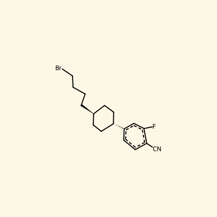 N#Cc1ccc([C@H]2CC[C@H](CCCCBr)CC2)cc1F